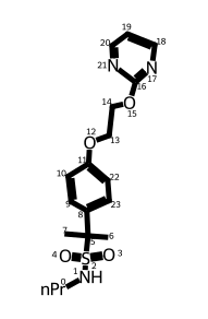 CCCNS(=O)(=O)C(C)(C)c1ccc(OCCOc2ncccn2)cc1